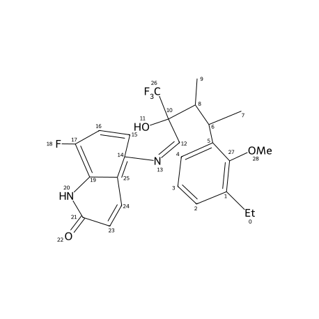 CCc1cccc(C(C)C(C)C(O)(C=Nc2ccc(F)c3[nH]c(=O)ccc23)C(F)(F)F)c1OC